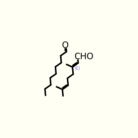 CC(C)=CCC/C(C)=C/C=O.CCCCCCCCC=O